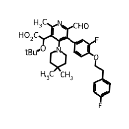 Cc1nc(C=O)c(-c2ccc(OCCc3ccc(F)cc3)c(F)c2)c(N2CCC(C)(C)CC2)c1C(OC(C)(C)C)C(=O)O